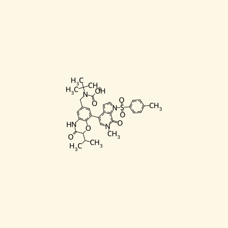 Cc1ccc(S(=O)(=O)n2ccc3c(-c4cc(CN(C(=O)O)C(C)(C)C)cc5c4OC(C(C)C)C(=O)N5)cn(C)c(=O)c32)cc1